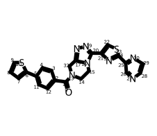 O=C(c1ccc(-c2cccs2)cc1)N1CCn2c(nnc2-c2csc(-c3cnccn3)n2)C1